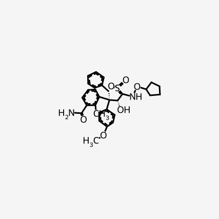 COc1ccc([C@@](Cc2ccccc2)(c2cccc(C(N)=O)c2C)[C@@H](O)C(NOC2CCCC2)=S(=O)=O)cc1